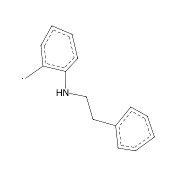 [CH2]c1ccccc1NCCc1ccccc1